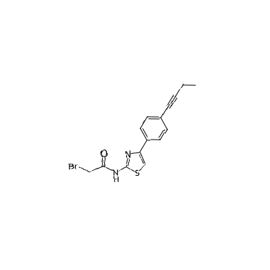 CCC#Cc1ccc(-c2csc(NC(=O)CBr)n2)cc1